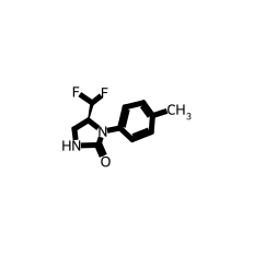 Cc1ccc(N2C(=O)NC[C@H]2C(F)F)cc1